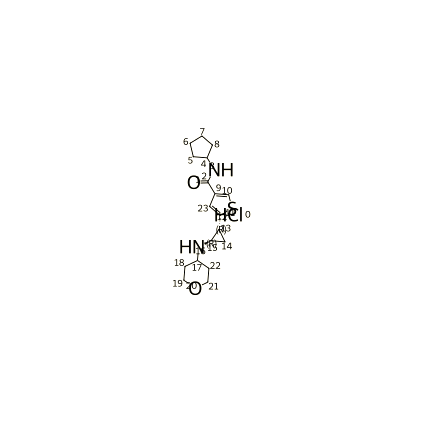 Cl.O=C(NC1CCCC1)c1csc([C@@H]2C[C@H]2NC2CCOCC2)c1